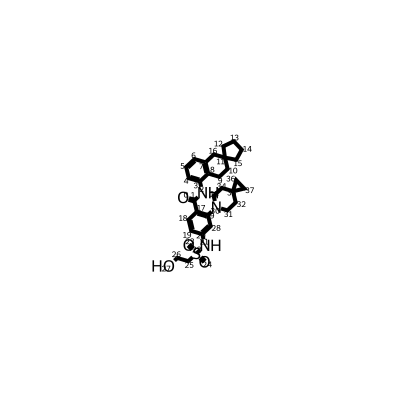 O=C(Nc1cccc2c1CCC1(CCCC1)C2)c1ccc(NS(=O)(=O)CCO)cc1N1CCC2(CC1)CC2